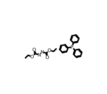 CCOC(=O)N=NC(=O)OCC.c1ccc(P(c2ccccc2)c2ccccc2)cc1